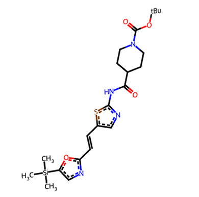 CC(C)(C)OC(=O)N1CCC(C(=O)Nc2ncc(/C=C/c3ncc([Si](C)(C)C)o3)s2)CC1